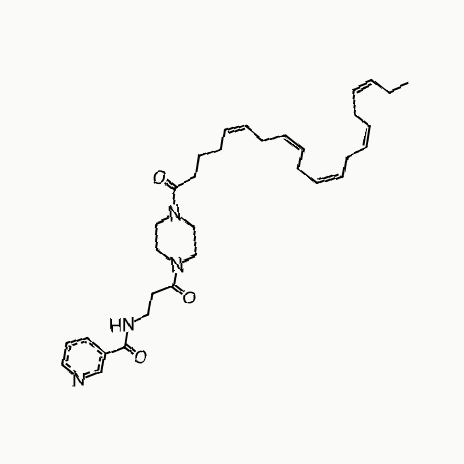 CC/C=C\C/C=C\C/C=C\C/C=C\C/C=C\CCCC(=O)N1CCN(C(=O)CCNC(=O)c2cccnc2)CC1